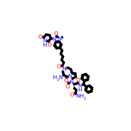 Cn1c(=O)n(C2CCC(=O)NC2=O)c2ccc(CCCCCC(=O)N3CCC4=CC[C@@H](N(C=O)[C@@H](CCC(N)=O)C(=O)NC(c5ccccc5)c5ccccc5)N4C(=O)[C@@H](N)C3)cc21